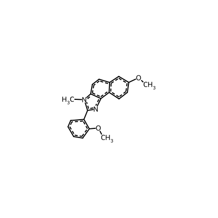 COc1ccc2c(ccc3c2nc(-c2ccccc2OC)n3C)c1